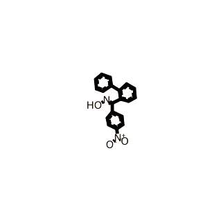 O=[N+]([O-])c1ccc(C(=NO)c2ccccc2-c2ccccc2)cc1